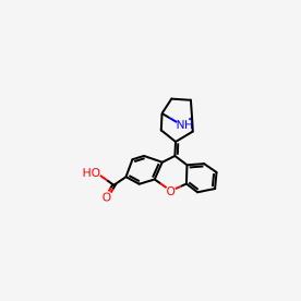 O=C(O)c1ccc2c(c1)Oc1ccccc1C2=C1CC2CCC(C1)N2